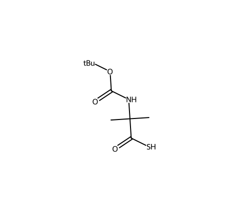 CC(C)(C)OC(=O)NC(C)(C)C(=O)S